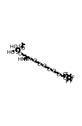 Cc1c(F)c(F)c(F)c(OC(=O)CCOCCOCCOCCOCCOCCOCCN/C=C(/CCCO[C@H]2C[C@@H](SC(=O)C(C)C)[C@@H](O)[C@@H](CO)S2)N=N)c1F